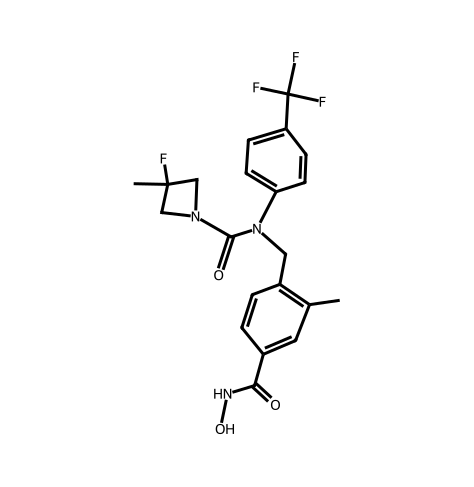 Cc1cc(C(=O)NO)ccc1CN(C(=O)N1CC(C)(F)C1)c1ccc(C(F)(F)F)cc1